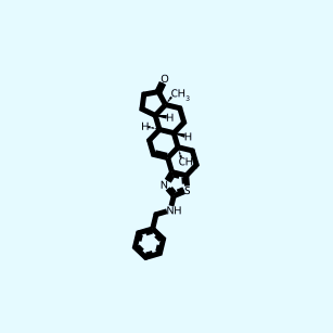 C[C@]12CCc3sc(NCc4ccccc4)nc3C1=CC[C@@H]1[C@@H]2CC[C@]2(C)C(=O)CC[C@@H]12